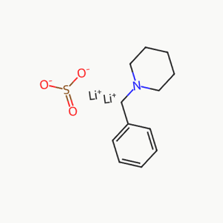 O=S([O-])[O-].[Li+].[Li+].c1ccc(CN2CCCCC2)cc1